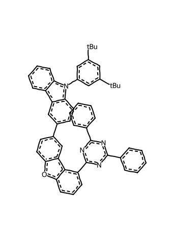 CC(C)(C)c1cc(-n2c3ccccc3c3cc(-c4ccc5oc6cccc(-c7nc(-c8ccccc8)nc(-c8ccccc8)n7)c6c5c4)ccc32)cc(C(C)(C)C)c1